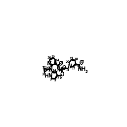 CC1=CCNC2=C1N(C(=O)OCN1C=C(C(N)=O)C=CC1)C(=O)c1cccnc1N2C1CC1